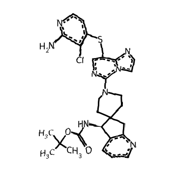 CC(C)(C)OC(=O)N[C@@H]1c2cccnc2CC12CCN(c1ncc(Sc3ccnc(N)c3Cl)c3nccn13)CC2